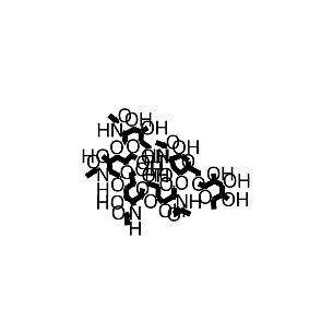 CC(=O)NC1C(O)OC(COC2OC(C)C(O)C(O)C2O)C(OC2OC(CO)C(OC3OC(CO)C(OC4OC(CO)C(OC5OC(CO)C(O)C(O)C5NC(C)=O)C(O)C4NC(C)=O)C(O)C3NC(C)=O)C(O)C2NC(C)=O)C1O